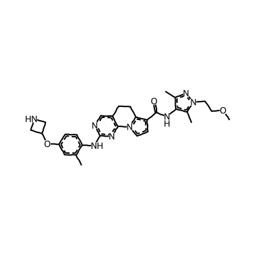 COCCn1nc(C)c(NC(=O)c2ccn3c2CCc2cnc(Nc4ccc(OC5CNC5)cc4C)nc2-3)c1C